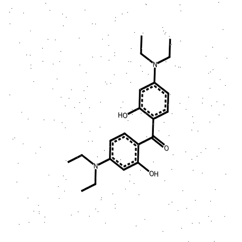 CCN(CC)c1ccc(C(=O)c2ccc(N(CC)CC)cc2O)c(O)c1